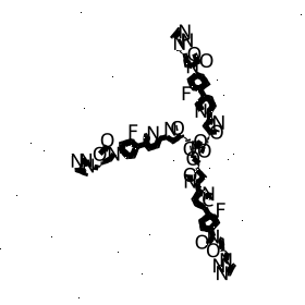 O=C1O[C@@H](Cn2ccnn2)CN1c1ccc(-c2ccc(C3=NO[C@H](COP(=O)(OC[C@@H]4CC(c5ccc(-c6ccc(N7C[C@H](Cn8ccnn8)OC7=O)cc6F)cn5)=NO4)OC[C@@H]4CC(c5ccc(-c6ccc(N7C[C@H](Cn8ccnn8)OC7=O)cc6F)cn5)=NO4)C3)nc2)c(F)c1